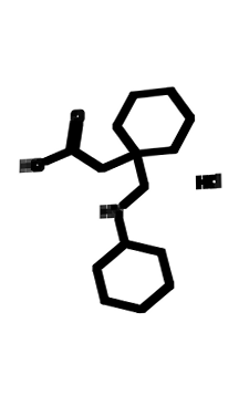 Cl.O=C(O)CC1(CNC2CCCCC2)CCCCC1